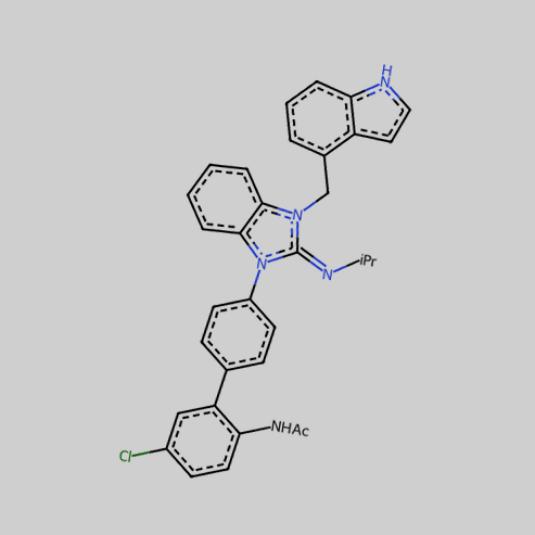 CC(=O)Nc1ccc(Cl)cc1-c1ccc(-n2/c(=N/C(C)C)n(Cc3cccc4[nH]ccc34)c3ccccc32)cc1